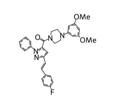 COc1cc(OC)cc(N2CCN(C(=O)c3cc(C=Cc4ccc(F)cc4)nn3-c3ccccc3)CC2)c1